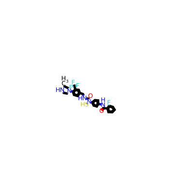 CC1CN(c2ccc(CNC(=O)N(S)c3ccc(NC(=O)c4ccccc4F)cc3)cc2C(F)(F)F)CCN1